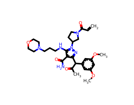 C=CC(=O)N1CCC(n2nc(C(C(C)=O)c3cc(OC)cc(OC)c3)c(C(N)=O)c2NCCCN2CCOCC2)C1